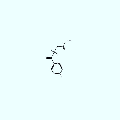 COC(=O)CC(C)(C)C(=O)c1ccc(O)cc1